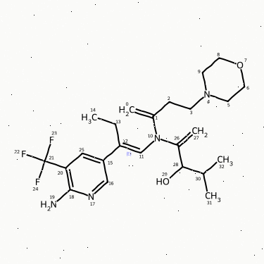 C=C(CCN1CCOCC1)N(/C=C(\CC)c1cnc(N)c(C(F)(F)F)c1)C(=C)C(O)C(C)C